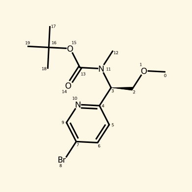 COC[C@@H](c1ccc(Br)cn1)N(C)C(=O)OC(C)(C)C